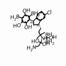 Bc1c(O)c(B)c([C@@H]2C[C@@H](CCC(C)(C)N(C(B)(B)O)C(O)(O)CN)c3cc(Cl)ccc32)c(O)c1O